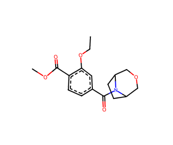 CCOc1cc(C(=O)N2C3CCC2COC3)ccc1C(=O)OC